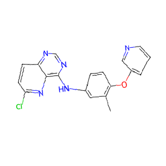 Cc1cc(Nc2ncnc3ccc(Cl)nc23)ccc1Oc1cccnc1